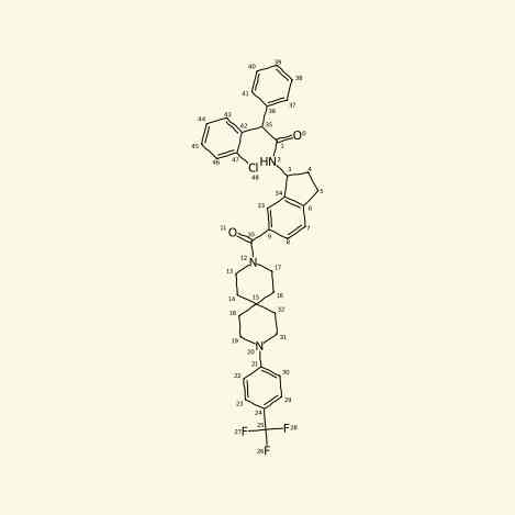 O=C(NC1CCc2ccc(C(=O)N3CCC4(CC3)CCN(c3ccc(C(F)(F)F)cc3)CC4)cc21)C(c1ccccc1)c1ccccc1Cl